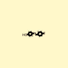 Oc1ccc(N=Cc2ccc(F)cc2)cc1